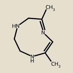 C/C1=C/N=C(\C)CNCCN1